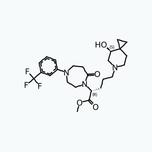 COC(=O)[C@@H](CCCN1CCC2(CC2)[C@H](O)C1)N1CCN(c2cccc(C(F)(F)F)c2)CCC1=O